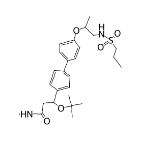 CCCS(=O)(=O)NCC(C)Oc1ccc(-c2ccc(C(CC([NH])=O)OC(C)(C)C)cc2)cc1